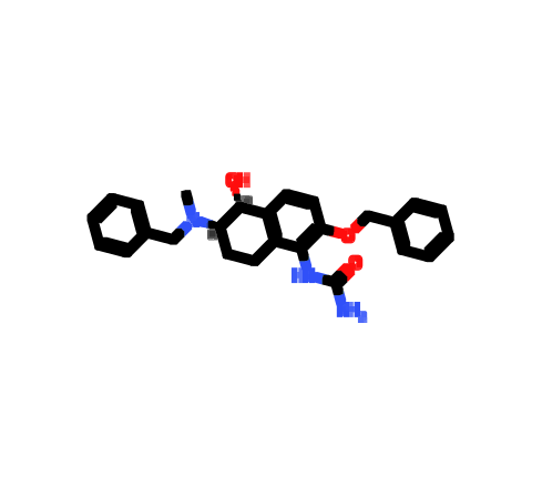 CN(Cc1ccccc1)[C@@H]1CCc2c(ccc(OCc3ccccc3)c2NC(N)=O)[C@H]1O